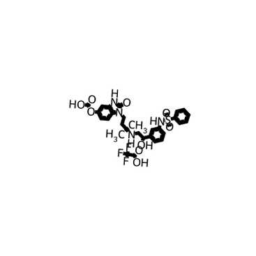 CC(C)(CCn1c(=O)[nH]c2cc(OC(=O)O)ccc21)NCC(O)c1cccc(NS(=O)(=O)c2ccccc2)c1.O=C(O)C(F)(F)F